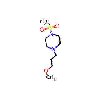 COCCCN1CCN(S(C)(=O)=O)CC1